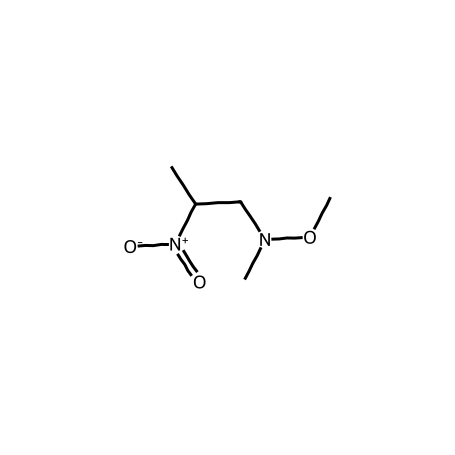 CON(C)CC(C)[N+](=O)[O-]